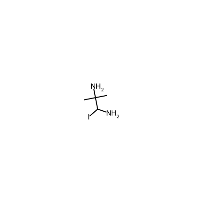 CC(C)(N)C(N)I